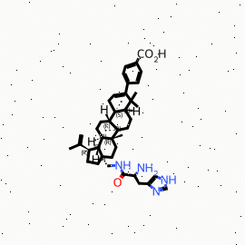 C=C(C)[C@@H]1CC[C@]2(CNC(=O)C(N)Cc3c[nH]cn3)CC[C@]3(C)[C@H](CC[C@@H]4[C@@]5(C)CC=C(c6ccc(C(=O)O)cc6)C(C)(C)[C@@H]5CC[C@]43C)[C@@H]12